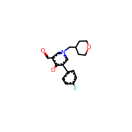 O=Cc1cn(CC2CCOCC2)cc(-c2ccc(F)cc2)c1=O